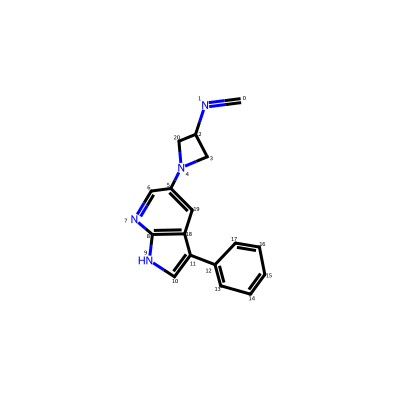 C=NC1CN(c2cnc3[nH]cc(-c4ccccc4)c3c2)C1